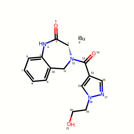 CC[C@H](C)[C@H]1C(=O)Nc2ccccc2CN1C(=O)c1cnn(CCO)c1